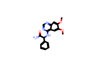 COc1cc2ncnc(NC(C(N)=O)c3ccccc3)c2cc1OC